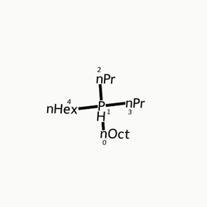 CCCCCCCC[PH](CCC)(CCC)CCCCCC